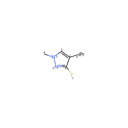 CC(C)c1cn(C)nc1F